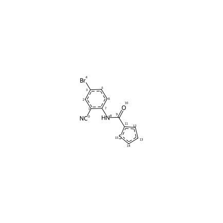 N#Cc1cc(Br)ccc1NC(=O)c1cccs1